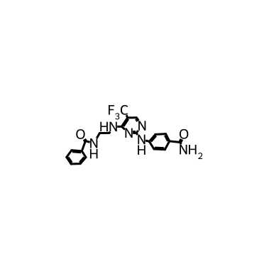 NC(=O)c1ccc(Nc2ncc(C(F)(F)F)c(NCCNC(=O)c3ccccc3)n2)cc1